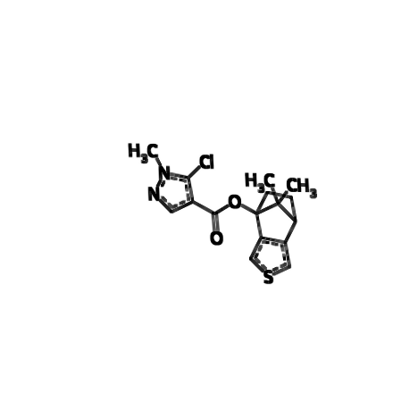 Cn1ncc(C(=O)OC23CCC(c4cscc42)C3(C)C)c1Cl